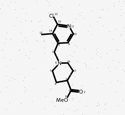 COC(=O)C1CCN(Cc2ccnc(Cl)c2C)CC1